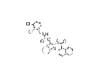 CN(C(=O)c1cccc2ccccc12)c1nc2n(c1OC(=O)NCc1cccc(Cl)c1Cl)CCCC2